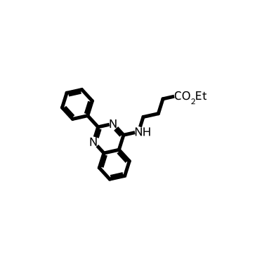 CCOC(=O)CCCNc1nc(-c2ccccc2)nc2ccccc12